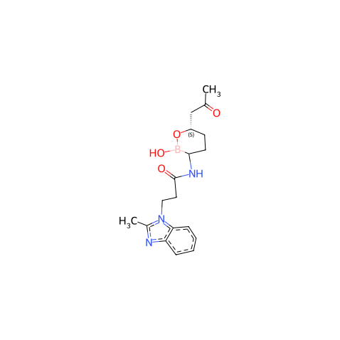 CC(=O)C[C@@H]1CCC(NC(=O)CCn2c(C)nc3ccccc32)B(O)O1